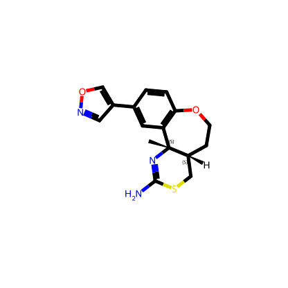 C[C@]12N=C(N)SC[C@H]1CCOc1ccc(-c3cnoc3)cc12